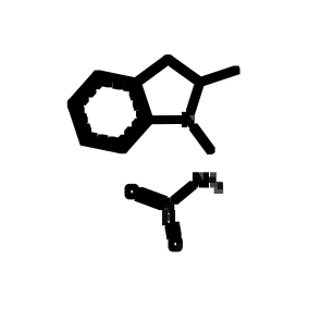 CC1Cc2ccccc2N1C.N[SH](=O)=O